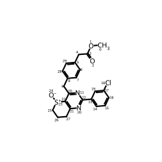 COC(=O)Cc1ccc(Cc2nc(-c3cccc(Cl)c3)nc3c2[S+]([O-])CCC3)cc1